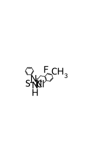 Cc1ccc(Cl)c(Cc2n[nH]c(=S)n2-c2ccccc2)c1F